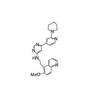 COc1ccc2ncccc2c1CCNc1cc(-c2ccnc(N3CCCCC3)c2)ncn1